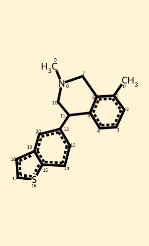 Cc1cccc2c1CN(C)CC2c1ccc2sccc2c1